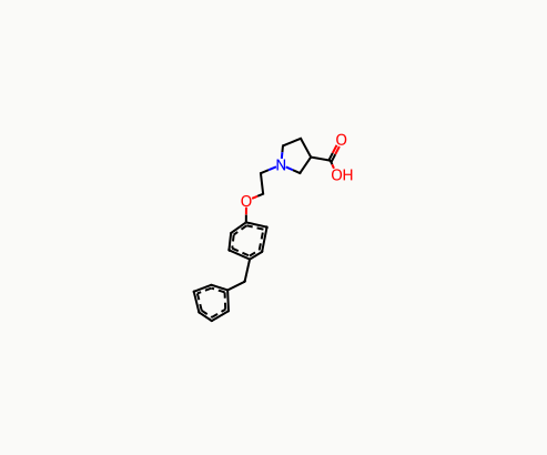 O=C(O)C1CCN(CCOc2ccc(Cc3ccccc3)cc2)C1